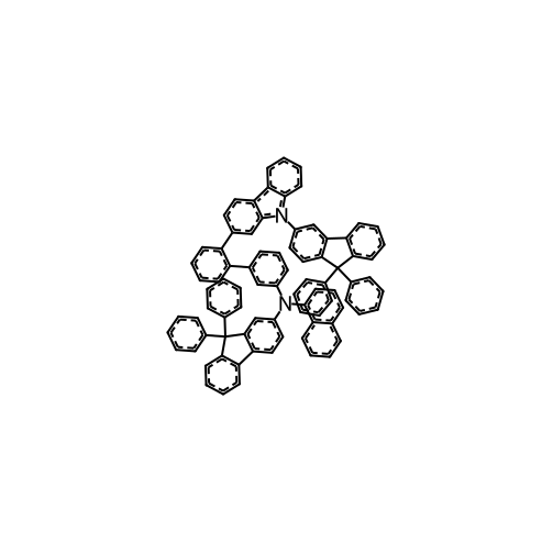 c1ccc(C2(c3ccccc3)c3ccccc3-c3cc(-n4c5ccccc5c5ccc(-c6ccccc6-c6cccc(N(c7ccc8c(c7)C(c7ccccc7)(c7ccccc7)c7ccccc7-8)c7cccc8ccccc78)c6)cc54)ccc32)cc1